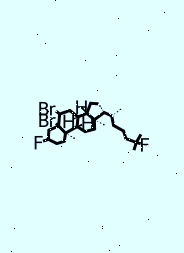 C[C@H](CCCC(C)(C)F)[C@H]1CC[C@H]2[C@@H]3CC(Br)C4(Br)CC(F)CC[C@]4(C)[C@H]3CC[C@]12C